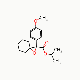 COc1ccc(C2(C(=O)OC(C)C)OC23CCCCC3)cc1